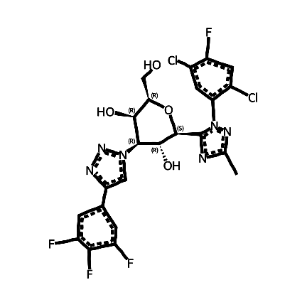 Cc1nc([C@@H]2O[C@H](CO)[C@H](O)[C@H](n3cc(-c4cc(F)c(F)c(F)c4)nn3)[C@H]2O)n(-c2cc(Cl)c(F)cc2Cl)n1